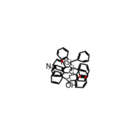 O[Si](c1ccccc1)(c1ccccc1)[Si](c1ccccc1)(c1ccccc1)[Si](c1ccccc1)(c1ccccc1)[SiH](c1ccccc1)c1ccccc1.[Na]